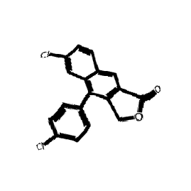 O=C1OCc2c1cc1ccc(Cl)cc1c2-c1ccc(Cl)cc1